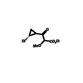 CCOC(=O)C(OC)C(=O)C1C[C@H]1CC